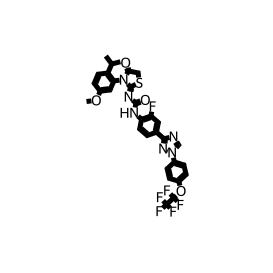 COc1ccc(C(C)C)c(N2C(=O)CSC2=NC(=O)Nc2ccc(-c3ncn(-c4ccc(OC(F)(F)C(F)(F)F)cc4)n3)cc2F)c1